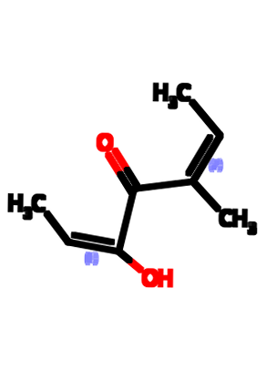 C/C=C(/C)C(=O)/C(O)=C\C